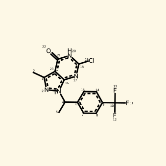 Cc1nn(C(C)c2ccc(C(F)(F)F)cc2)c2nc(Cl)[nH]c(=O)c12